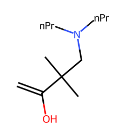 C=C(O)C(C)(C)CN(CCC)CCC